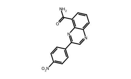 NC(=O)c1cccc2ncc(-c3ccc([N+](=O)[O-])cc3)nc12